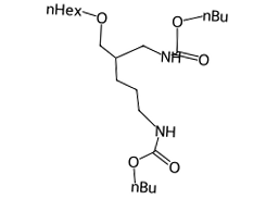 CCCCCCOCC(CCCNC(=O)OCCCC)CNC(=O)OCCCC